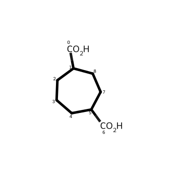 O=C(O)C1CCCC(C(=O)O)CC1